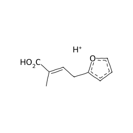 CC(=CCc1ccco1)C(=O)O.[H+]